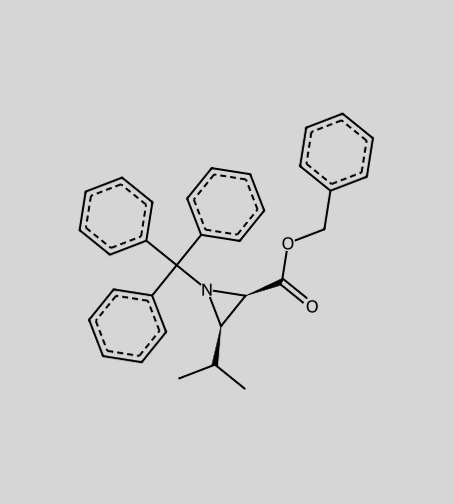 CC(C)[C@@H]1[C@H](C(=O)OCc2ccccc2)N1C(c1ccccc1)(c1ccccc1)c1ccccc1